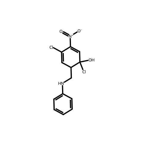 O=[N+]([O-])C1=CC(O)(Cl)C(CNc2ccccc2)C=C1Cl